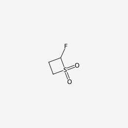 O=S1(=O)CCC1F